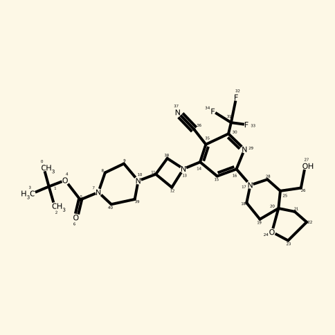 CC(C)(C)OC(=O)N1CCN(C2CN(c3cc(N4CCC5(CCCO5)C(CO)C4)nc(C(F)(F)F)c3C#N)C2)CC1